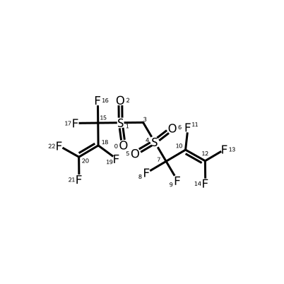 O=S(=O)(CS(=O)(=O)C(F)(F)C(F)=C(F)F)C(F)(F)C(F)=C(F)F